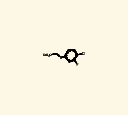 CCOC(=O)COc1ccc(Cl)c(F)c1